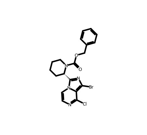 O=C(OCc1ccccc1)N1CCCC[C@H]1c1nc(Br)c2c(Cl)nccn12